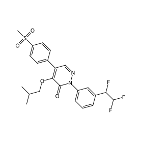 CC(C)COc1c(-c2ccc(S(C)(=O)=O)cc2)cnn(-c2cccc(C(F)C(F)F)c2)c1=O